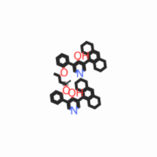 CC(C[C@@H](C)Oc1ccccc1-c1cncc(-c2c3c(cc4c2CCCC4)CCCC3)c1O)Oc1ccccc1-c1cncc(-c2c3c(cc4c2CCCC4)CCCC3)c1O